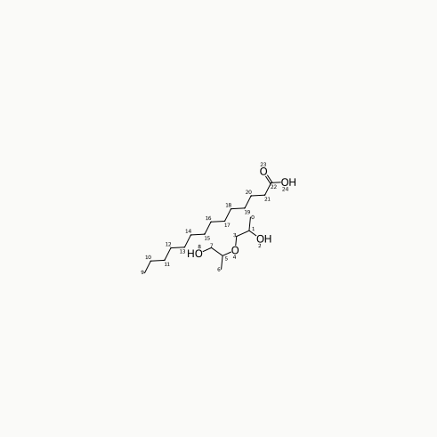 CC(O)COC(C)CO.CCCCCCCCCCCCCC(=O)O